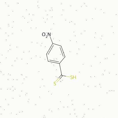 O=[N+]([O-])c1ccc(C(=S)S)cc1